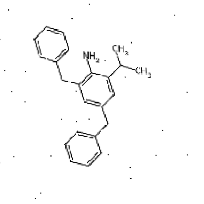 CC(C)c1cc(Cc2ccccc2)cc(Cc2ccccc2)c1N